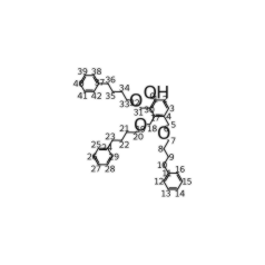 Oc1ccc(COCCCCc2ccccc2)c(COCCCCc2ccccc2)c1COCCCCc1ccccc1